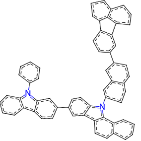 c1ccc(-n2c3ccccc3c3ccc(-c4ccc5c(c4)c4ccc6ccccc6c4n5-c4ccc5ccc(-c6ccc7c(c6)-c6cccc8cccc-7c68)cc5c4)cc32)cc1